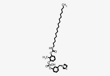 CCCCCCCCCCCCCCCCCCNC(=O)Oc1cccc(OP(=O)(O)Oc2cccc(C[n+]3ccsc3)c2)c1C